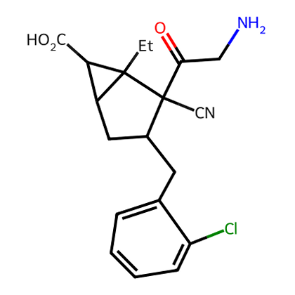 CCC12C(CC(Cc3ccccc3Cl)C1(C#N)C(=O)CN)C2C(=O)O